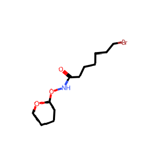 O=C(CCCCCCBr)NOC1CCCCO1